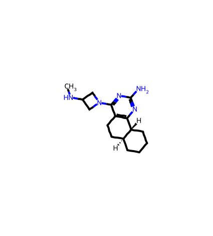 CNC1CN(c2nc(N)nc3c2CC[C@@H]2CCCC[C@@H]32)C1